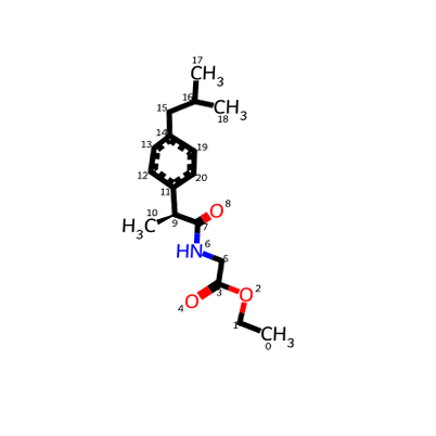 CCOC(=O)CNC(=O)[C@@H](C)c1ccc(CC(C)C)cc1